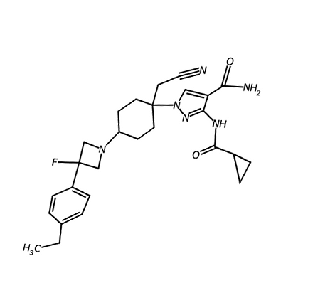 CCc1ccc(C2(F)CN(C3CCC(CC#N)(n4cc(C(N)=O)c(NC(=O)C5CC5)n4)CC3)C2)cc1